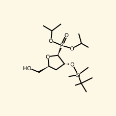 CC(C)OP(=O)(OC(C)C)[C@@H]1O[C@H](CO)C[C@H]1O[Si](C)(C)C(C)(C)C